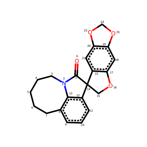 O=C1N2CCCCCc3cccc(c32)C12COc1cc3c(cc12)OCO3